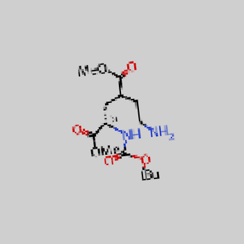 COC(=O)C(CCN)C[C@H](NC(=O)OC(C)(C)C)C(=O)OC